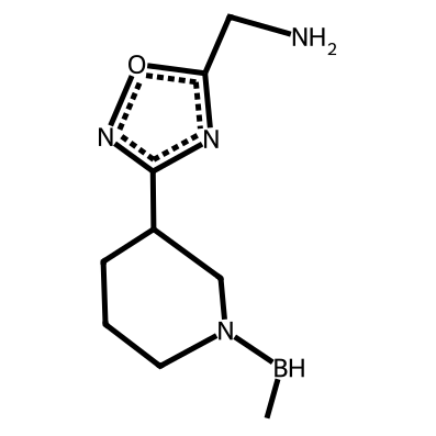 CBN1CCCC(c2noc(CN)n2)C1